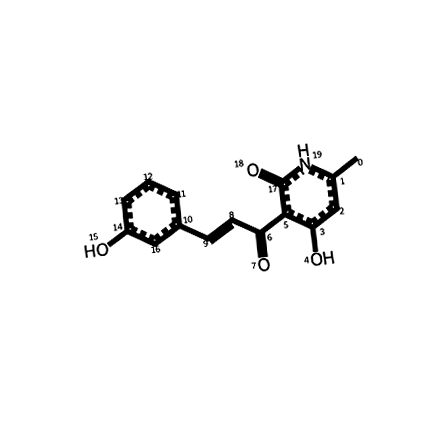 Cc1cc(O)c(C(=O)C=Cc2cccc(O)c2)c(=O)[nH]1